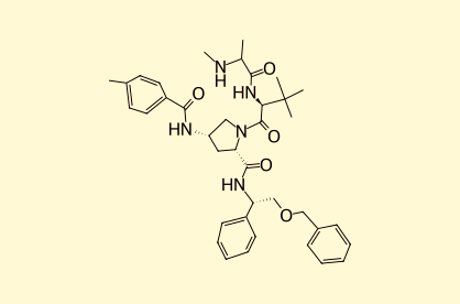 CNC(C)C(=O)N[C@H](C(=O)N1C[C@@H](NC(=O)c2ccc(C)cc2)C[C@H]1C(=O)N[C@H](COCc1ccccc1)c1ccccc1)C(C)(C)C